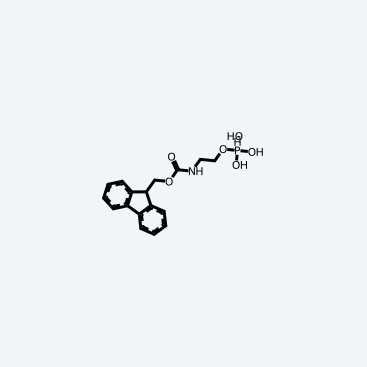 O=C(NCCO[PH](O)(O)O)OCC1c2ccccc2-c2ccccc21